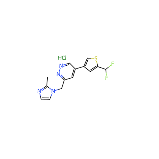 Cc1nccn1Cc1cc(-c2csc(C(F)F)c2)cnn1.Cl